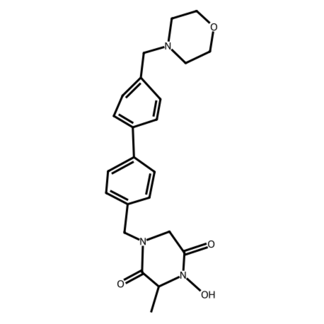 CC1C(=O)N(Cc2ccc(-c3ccc(CN4CCOCC4)cc3)cc2)CC(=O)N1O